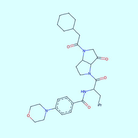 CC(C)CC(NC(=O)c1ccc(N2CCOCC2)cc1)C(=O)N1CCC2C1C(=O)CN2C(=O)CC1CCCCC1